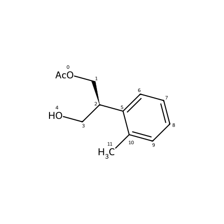 CC(=O)OC[C@H](CO)c1ccccc1C